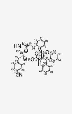 COC(=O)N[C@H](C(=O)Nc1ccccc1CC[C@@H]1CNC[C@@H](CCc2ccc(C#N)cc2)O1)C(c1ccccc1)c1ccccc1